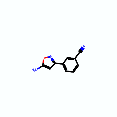 N#Cc1cccc(-c2cc(N)on2)c1